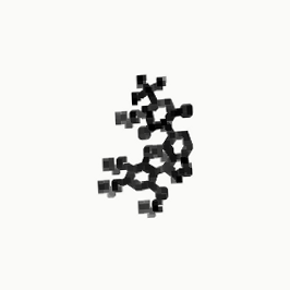 COc1cc(C)c(C)c(C)c1-c1nsc2ccc(-n3c(=O)cc(C(F)(F)F)n(C)c3=O)cc12